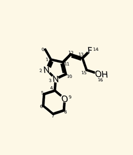 Cc1nn(C2CCCCO2)cc1/C=C(/F)CO